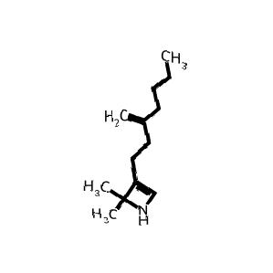 C=C(CCCC)CCC1=CNC1(C)C